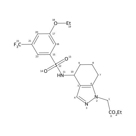 CCOC(=O)Cn1ncc2c1CCCC2NS(=O)(=O)c1cc(OCC)cc(C(F)(F)F)c1